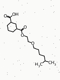 CC(C)CCCCOCCOC(=O)C1CCCC(C(=O)O)C1